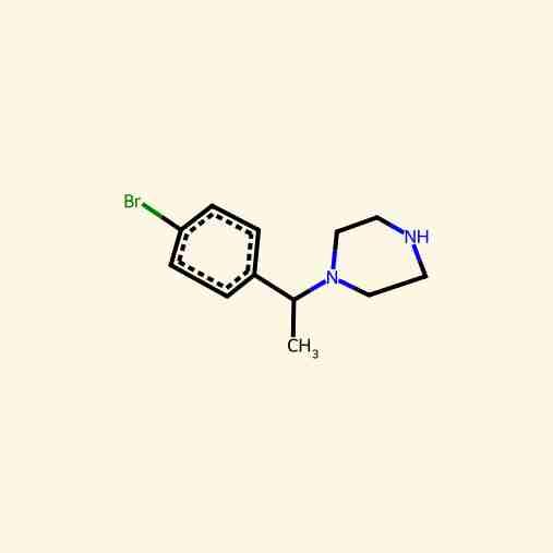 CC(c1ccc(Br)cc1)N1CCNCC1